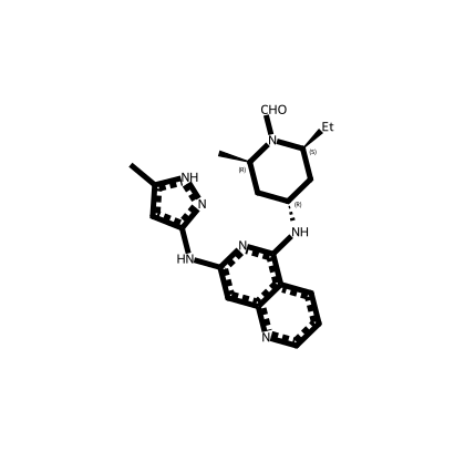 CC[C@H]1C[C@H](Nc2nc(Nc3cc(C)[nH]n3)cc3ncccc23)C[C@@H](C)N1C=O